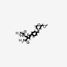 COCC1CN(Cc2ccc(-c3cc(C(N)=O)c(NC(N)=O)s3)cc2)CCO1